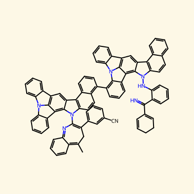 CC1=c2ccccc2=NC(n2c3ccc4c(-c5cccc6c7c8c(cc9c%10ccccc%10n(c56)c97)c5c6ccccc6ccc5n8Nc5ccccc5C(=N)C5=CCCC=C5)cccc4c3c3cc4c5ccccc5n5c6ccccc6c(c32)c45)=C(c2cccc(C#N)c2)C1